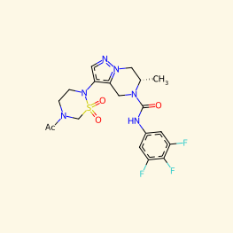 CC(=O)N1CCN(c2cnn3c2CN(C(=O)Nc2cc(F)c(F)c(F)c2)[C@@H](C)C3)S(=O)(=O)C1